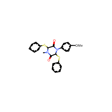 COc1ccc(N2C(=O)C(Sc3ccccc3)N(C)C(=O)C2Sc2ccccc2)cc1